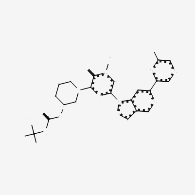 Cc1cncc(-c2cc3c(cn2)cnn3-c2cn(C)c(=O)c(N3CCC[C@H](NC(=O)OC(C)(C)C)C3)n2)n1